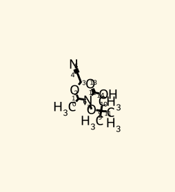 CC(OCC#N)N(OC(C)(C)C)C(=O)O